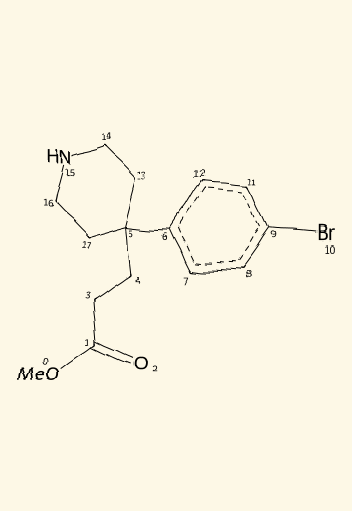 COC(=O)CCC1(c2ccc(Br)cc2)CCNCC1